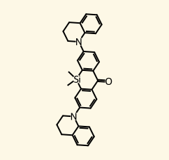 C[Si]1(C)c2cc(N3CCCc4ccccc43)ccc2C(=O)c2ccc(N3CCCc4ccccc43)cc21